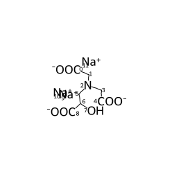 O=C([O-])CN(CC(=O)[O-])CC(O)C(=O)[O-].[Na+].[Na+].[Na+]